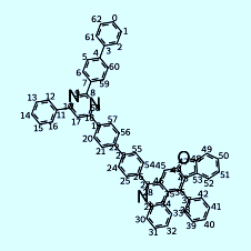 c1ccc(-c2ccc(-c3nc(-c4ccccc4)cc(-c4ccc(-c5ccc(-c6nc7ccccc7c7c(-c8ccccc8)c8c(cc67)oc6ccccc68)cc5)cc4)n3)cc2)cc1